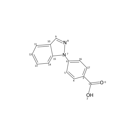 O=C(O)c1ccc(-n2ncc3ccccc32)cc1